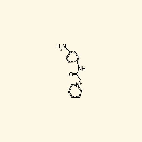 Nc1ccc(NC(=O)C[n+]2ccccc2)cc1